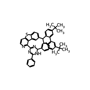 CC(C)(C)c1ccc2c(c1)-c1cc(C(C)(C)C)ccc1C(c1ccc3sc4ccnc(C5=NC(c6ccccc6)NC(c6ccccc6)=N5)c4c3c1)C2